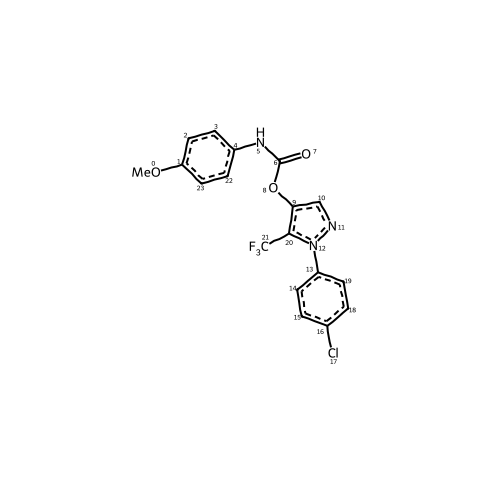 COc1ccc(NC(=O)Oc2cnn(-c3ccc(Cl)cc3)c2C(F)(F)F)cc1